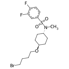 CN([C@H]1CC[C@H](OCCCCBr)CC1)S(=O)(=O)c1ccc(F)c(F)c1